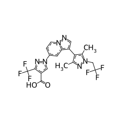 Cc1nn(CC(F)(F)F)c(C)c1-c1cnn2ccc(-n3cc(C(=O)O)c(C(F)(F)F)n3)cc12